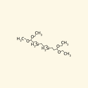 CCOC(CC[SiH2]CCC[SiH2]CCC(OCC)OCC)OCC